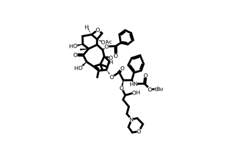 CC(=O)O[C@@]12CO[C@@H]1C[C@H](O)[C@@]1(C)C(=O)[C@H](O)C3=C(C)[C@@H](OC(=O)[C@H](OC(O)CCCN4CCOCC4)[C@@H](NC(=O)OC(C)(C)C)c4ccccc4)C[C@@](O)([C@@H](OC(=O)c4ccccc4)C12)C3(C)C